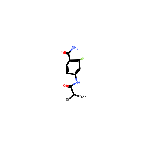 CCC(OC(C)=O)C(=O)Nc1ccc(C(N)=O)c(F)c1